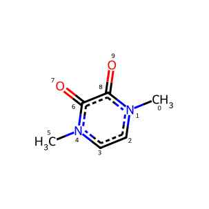 Cn1ccn(C)c(=O)c1=O